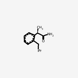 CC(C)Cc1ccccc1[C@@H](C)C(N)=O